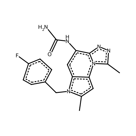 Cc1cc2c(cc(NC(N)=O)c3nnc(C)n32)n1Cc1ccc(F)cc1